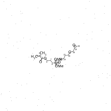 C=C(C)C(=O)OCCC[Si](OC)(OC)OCCCCOCC1CO1